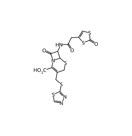 O=C(Cc1csc(=O)s1)NC1C(=O)N2C(C(=O)O)=C(CSc3nncs3)CSC12